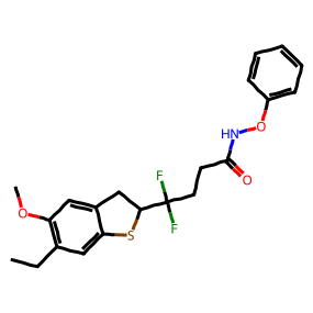 CCc1cc2c(cc1OC)CC(C(F)(F)CCC(=O)NOc1ccccc1)S2